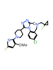 COc1cc(F)cnc1N1CCC(c2nnc3n2-c2ccc(Cl)cc2CN(CC2(F)CC2)C3)CC1